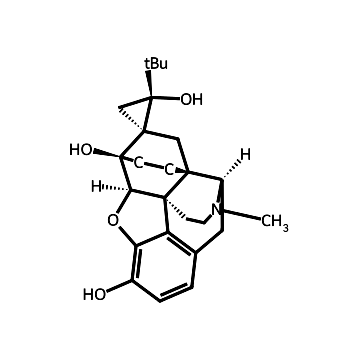 CN1CC[C@]23c4c5ccc(O)c4O[C@H]2[C@@]2(O)CC[C@@]3(C[C@@]23C[C@@]3(O)C(C)(C)C)[C@H]1C5